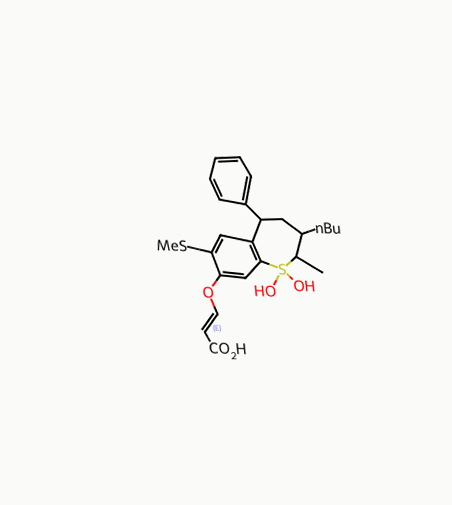 CCCCC1CC(c2ccccc2)c2cc(SC)c(O/C=C/C(=O)O)cc2S(O)(O)C1C